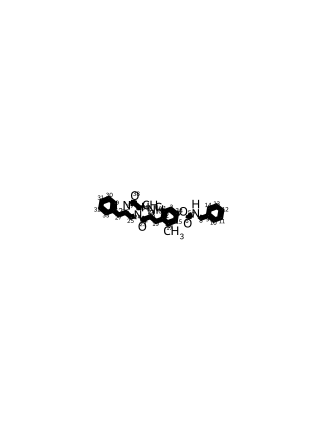 Cc1cc(OC(=O)NCc2ccccc2)cc(C)c1C[C@@H](N)C(=O)N(CCCc1ccccc1)[C@H](C)C(N)=O